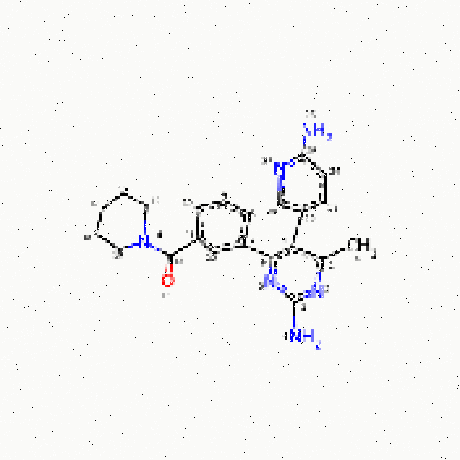 Cc1nc(N)nc(-c2cccc(C(=O)N3CCCCC3)c2)c1-c1ccc(N)nc1